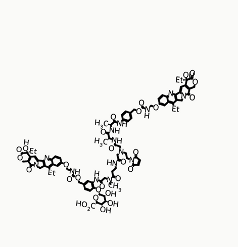 CCc1c2c(nc3ccc(OCNC(=O)OCc4ccc(NC(=O)[C@H](C)NC(=O)[C@H](C)NC(=O)CN(CCN5C(=O)C=CC5=O)CC(=O)NCCC(=O)N(C)CC(=O)Nc5cc(COC(=O)NCOc6ccc7nc8c(c(CC)c7c6)Cn6c-8cc7c(c6=O)COC(=O)[C@]7(O)CC)ccc5O[C@@H]5O[C@H](C(=O)O)[C@@H](O)[C@H](O)[C@H]5O)cc4)cc13)-c1cc3c(c(=O)n1C2)COC(=O)[C@]3(O)CC